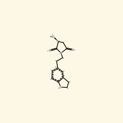 O=C1C[C@H](O)C(=O)N1CCc1ccc2c(c1)CCO2